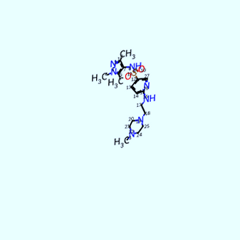 Cc1nn(C)c(C)c1NS(=O)(=O)c1ccc(NCCN2CCN(C)CC2)nc1